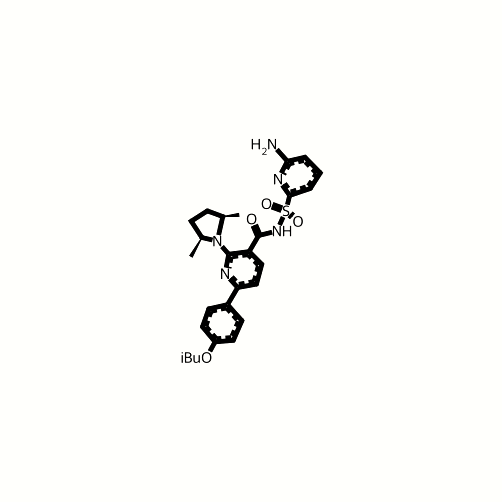 CC(C)COc1ccc(-c2ccc(C(=O)NS(=O)(=O)c3cccc(N)n3)c(N3[C@H](C)CC[C@@H]3C)n2)cc1